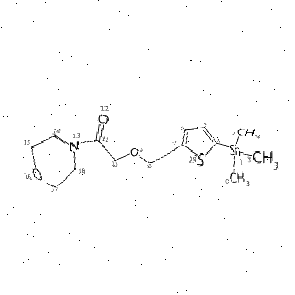 [CH3][Sn]([CH3])([CH3])[c]1ccc(COCC(=O)N2CCOCC2)s1